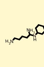 NCCCCC(N)NC1CCCCC1